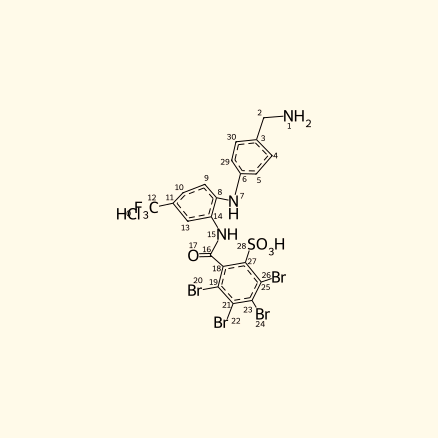 Cl.NCc1ccc(Nc2ccc(C(F)(F)F)cc2NC(=O)c2c(Br)c(Br)c(Br)c(Br)c2S(=O)(=O)O)cc1